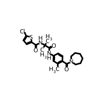 Cc1cc(NC(=O)C(C)(C)NC(=O)c2ccc(Cl)s2)ccc1C(=O)N1CCCCCC1